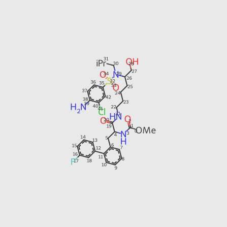 COC(=O)NC(Cc1ccccc1-c1cccc(F)c1)C(=O)NCCCCC(CO)N(CC(C)C)S(=O)(=O)c1ccc(N)c(Cl)c1